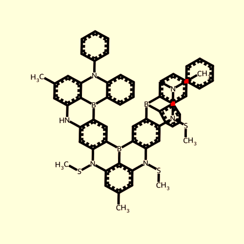 CSN1c2cc3c(cc2B2c4cc5c(cc4N(SC)c4cc(C)cc1c42)N(SC)c1cc(C)cc2c1B5c1ccccc1N2c1ccccc1)B1c2ccccc2N(c2ccccc2)c2cc(C)cc(c21)N3